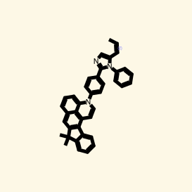 C/C=C\c1cnc(-c2ccc(N3C=Cc4c5c(cc6cccc3c46)C(C)(C)c3ccccc3-5)cc2)n1-c1ccccc1